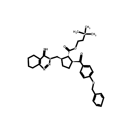 C[Si](C)(C)CCOC(=O)[C@H]1[C@H](Cn2nnc3c(c2=N)CCCC3)CC[C@@H]1C(=O)c1ccc(OCc2ccccc2)cc1